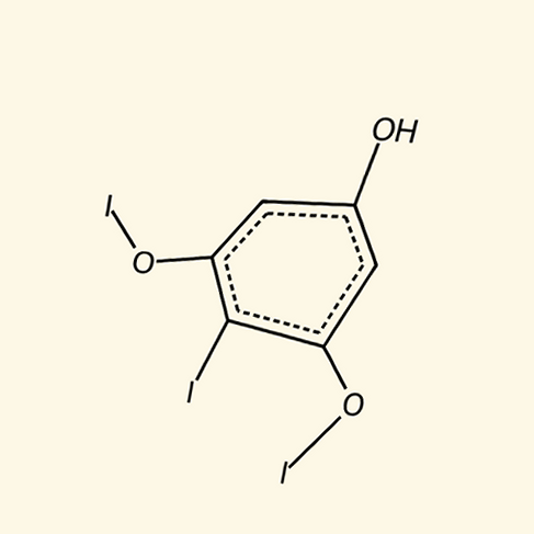 Oc1cc(OI)c(I)c(OI)c1